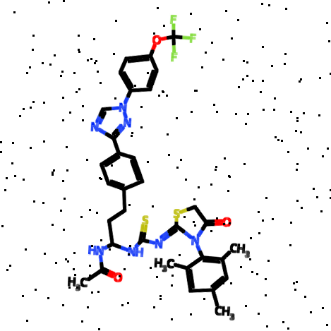 CC(=O)NC(CCc1ccc(-c2ncn(-c3ccc(OC(F)(F)F)cc3)n2)cc1)NC(=S)/N=C1\SCC(=O)N1c1c(C)cc(C)cc1C